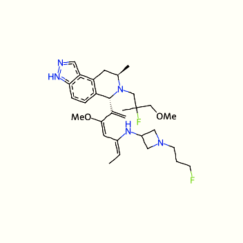 C=C(/C(=C\C(=C/C)NC1CN(CCCF)C1)OC)[C@@H]1c2ccc3[nH]ncc3c2C[C@@H](C)N1CC(C)(F)COC